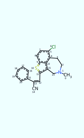 CN1CCc2c(Cl)ccc3sc(/C=C(/C#N)c4ccccc4)c(c23)C1